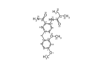 COc1ccc(Cc2ccc(NC(=O)C(C)C)c(C(N)=O)n2)c(OC)c1